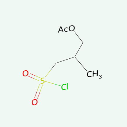 CC(=O)OCC(C)CS(=O)(=O)Cl